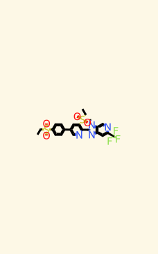 CCS(=O)(=O)c1ccc(-c2cnc(-c3nc4cc(C(F)(F)F)ncc4n3C)c(S(=O)(=O)CC)c2)cc1